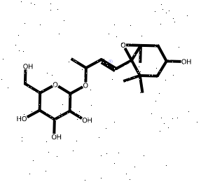 CC(/C=C/C12OC1(C)CC(O)CC2(C)C)OC1OC(CO)C(O)C(O)C1O